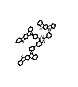 c1cc(-c2ccc3nc(-c4cccc(-n5c6ccccc6c6cc7c(cc65)sc5ccccc57)c4)nc(-c4ccc(-n5c6ccccc6c6cc7c(cc65)sc5ccccc57)cc4)c3c2)cc(-n2c3ccccc3c3cc4c(cc32)sc2ccccc24)c1